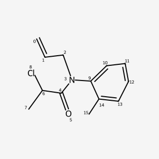 C=CCN(C(=O)C(C)Cl)c1ccccc1C